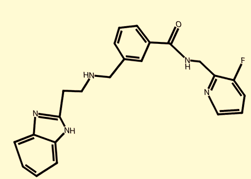 O=C(NCc1ncccc1F)c1cccc(CNCCc2nc3ccccc3[nH]2)c1